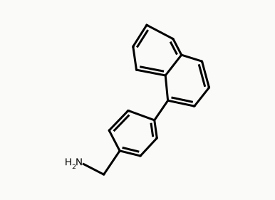 NCc1ccc(-c2cccc3ccccc23)cc1